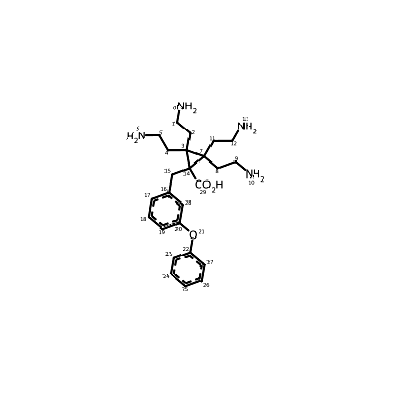 NCCC1(CCN)C(CCN)(CCN)C1(Cc1cccc(Oc2ccccc2)c1)C(=O)O